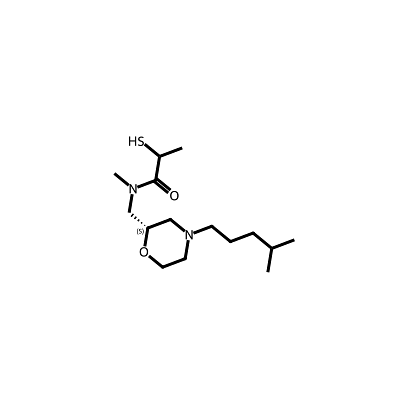 CC(C)CCCN1CCO[C@H](CN(C)C(=O)C(C)S)C1